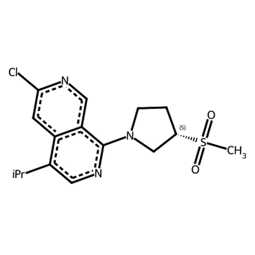 CC(C)c1cnc(N2CC[C@H](S(C)(=O)=O)C2)c2cnc(Cl)cc12